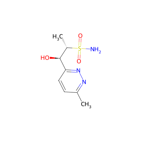 Cc1ccc([C@@H](O)[C@H](C)S(N)(=O)=O)nn1